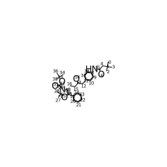 CC(C)(C)CC(=O)Nc1ccc(CC(=O)CC[C@@H]2[C@@H](c3ccccc3)OC(C)(C)N2C(=O)OC(C)(C)C)cc1